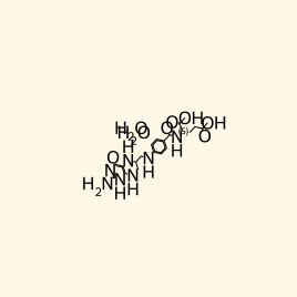 Nc1nc(=O)c2c([nH]1)NCC(CNc1ccc(C(=O)N[C@@H](CCC(=O)O)C(=O)O)cc1)N2.O.O